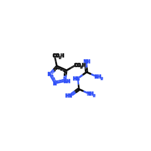 N=C(N)NC(=N)N.O=C(O)c1nn[nH]c1C(=O)O